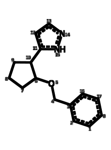 c1ccc(COC2CCCC2c2ccn[nH]2)cc1